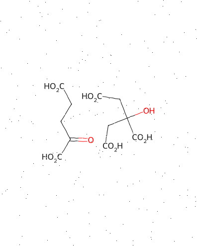 O=C(O)CC(O)(CC(=O)O)C(=O)O.O=C(O)CCC(=O)C(=O)O